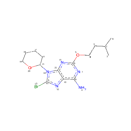 CC(C)CCOc1nc(N)c2nc(Br)n(C3CCCCO3)c2n1